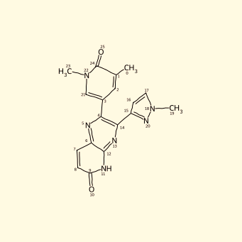 Cc1cc(-c2nc3ccc(=O)[nH]c3nc2-c2ccn(C)n2)cn(C)c1=O